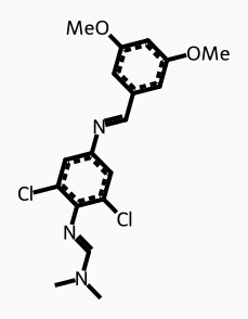 COc1cc(C=Nc2cc(Cl)c(N=CN(C)C)c(Cl)c2)cc(OC)c1